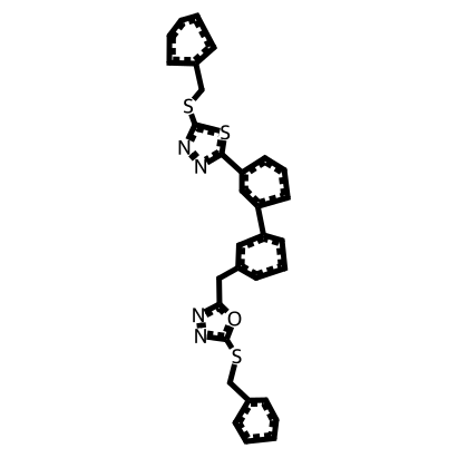 c1ccc(CSc2nnc(Cc3cccc(-c4cccc(-c5nnc(SCc6ccccc6)s5)c4)c3)o2)cc1